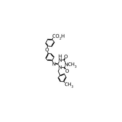 Cc1ccc(Cn2c(=O)n(C)c(=O)[nH]/c2=N\c2ccc(Oc3ccc(C(=O)O)cc3)cc2)cc1